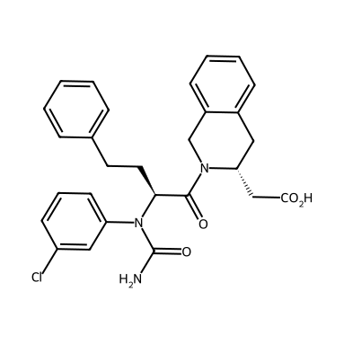 NC(=O)N(c1cccc(Cl)c1)[C@@H](CCc1ccccc1)C(=O)N1Cc2ccccc2C[C@@H]1CC(=O)O